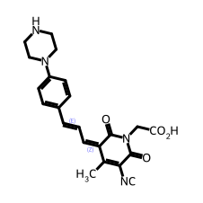 [C-]#[N+]C1=C(C)/C(=C/C=C/c2ccc(N3CCNCC3)cc2)C(=O)N(CC(=O)O)C1=O